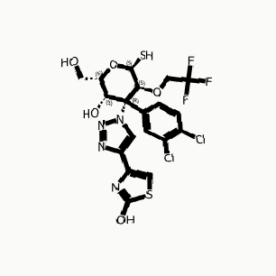 OC[C@@H]1O[C@@H](S)[C@@H](OCC(F)(F)F)[C@](c2ccc(Cl)c(Cl)c2)(n2cc(-c3csc(O)n3)nn2)[C@@H]1O